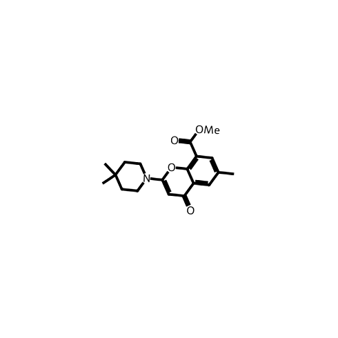 COC(=O)c1cc(C)cc2c(=O)cc(N3CCC(C)(C)CC3)oc12